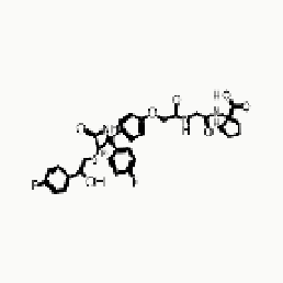 O=C(COc1ccc([C@]2(c3ccc(F)cc3)NC(=O)[C@@H]2SCC(O)c2ccc(F)cc2)cc1)NCC(=O)NC1(C(=O)O)CCCC1